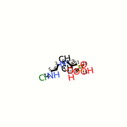 C[N+](C)(CCCNCl)CC(O)CS(=O)(=O)O